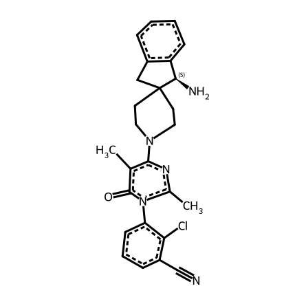 Cc1c(N2CCC3(CC2)Cc2ccccc2[C@H]3N)nc(C)n(-c2cccc(C#N)c2Cl)c1=O